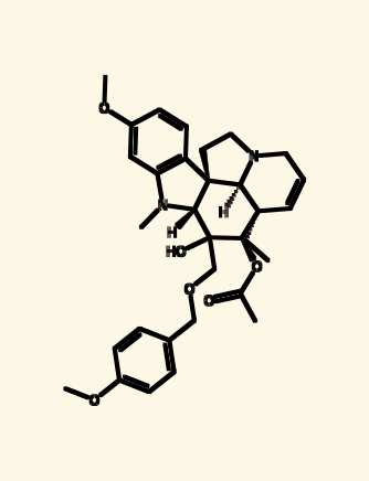 CC[C@]12C=CCN3CC[C@@]4(c5ccc(OC)cc5N(C)[C@H]4C(O)(COCc4ccc(OC)cc4)[C@@H]1OC(C)=O)[C@@H]32